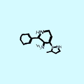 CC1CCNN1C1=CCNC(C2CCCCC2)C1N